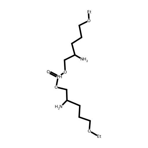 CCOCCCC(N)CO[PH](=O)OCC(N)CCCOCC